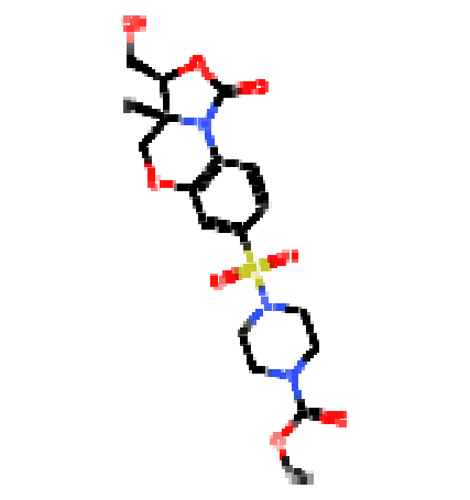 CC(C)(C)OC(=O)N1CCN(S(=O)(=O)c2ccc3c(c2)OC[C@@H]2[C@@H](CO)OC(=O)N32)CC1